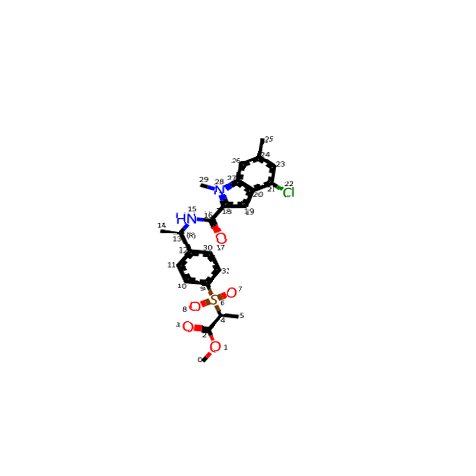 COC(=O)C(C)S(=O)(=O)c1ccc([C@@H](C)NC(=O)c2cc3c(Cl)cc(C)cc3n2C)cc1